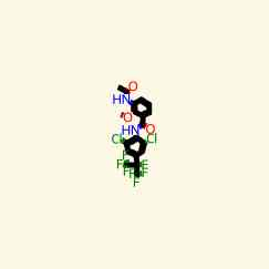 COc1c(NC(C)=O)cccc1C(=O)Nc1c(Cl)cc(C(F)(C(F)(F)F)C(F)(F)F)cc1Cl